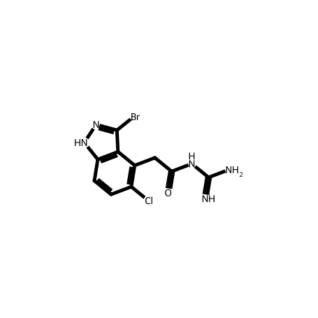 N=C(N)NC(=O)Cc1c(Cl)ccc2[nH]nc(Br)c12